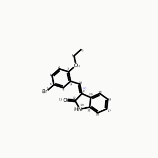 CCOc1ccc(Br)cc1/C=C1\C(=O)Nc2ccccc21